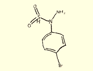 NN(c1ccc(Br)cc1)[SH](=O)=O